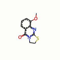 COc1cccc2c(=O)n3c(nc12)SCC3